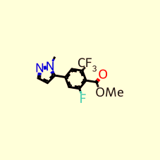 COC(=O)c1c(F)cc(-c2ccnn2C)cc1C(F)(F)F